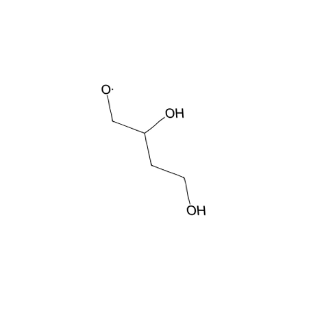 [O]CC(O)CCO